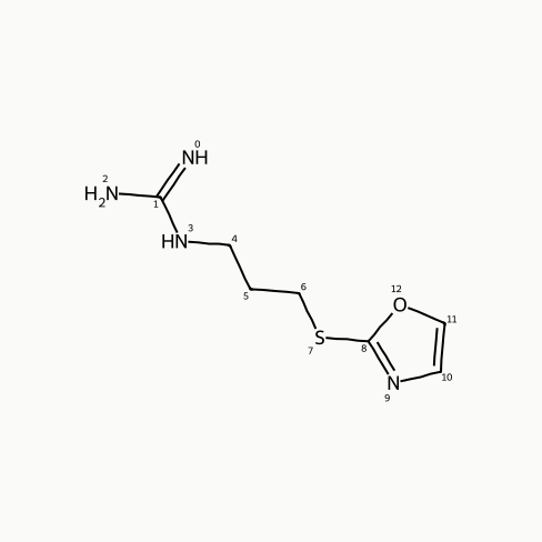 N=C(N)NCCCSc1ncco1